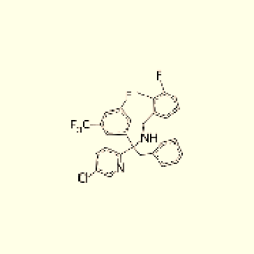 Cc1c(F)cccc1CNC(Cc1ccccc1)(c1cc(F)cc(C(F)(F)F)c1)c1ccc(Cl)cn1